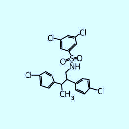 CC(c1ccc(Cl)cc1)C(CNS(=O)(=O)c1cc(Cl)cc(Cl)c1)c1ccc(Cl)cc1